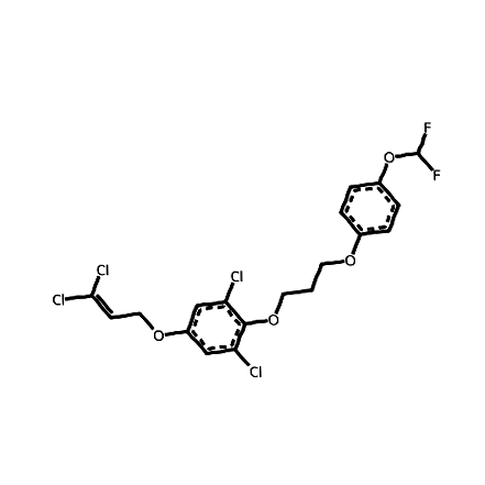 FC(F)Oc1ccc(OCCCOc2c(Cl)cc(OCC=C(Cl)Cl)cc2Cl)cc1